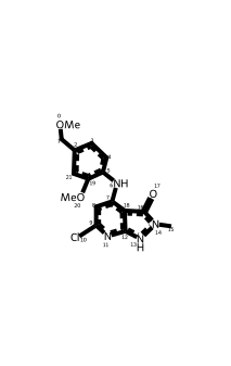 COCc1ccc(Nc2cc(Cl)nc3[nH]n(C)c(=O)c23)c(OC)c1